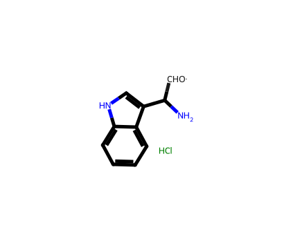 Cl.NC([C]=O)c1c[nH]c2ccccc12